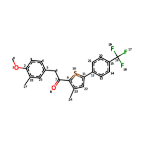 COc1ccc(CC(=O)c2sc(-c3ccc(C(F)(F)F)cc3)cc2C)cc1C